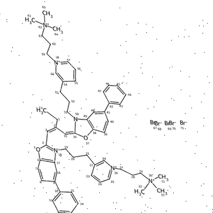 CCC(=Cc1oc2ccc(-c3ccccc3)cc2[n+]1CCCc1ccc[n+](CCC[N+](C)(C)C)c1)C=C1Oc2ccc(-c3ccccc3)cc2N1CCCc1ccc[n+](CCC[N+](C)(C)C)c1.[Br-].[Br-].[Br-].[Br-].[Br-]